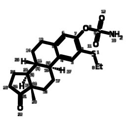 CCSc1cc2c(cc1OS(N)(=O)=O)CC[C@@H]1[C@@H]2CC[C@]2(C)C(=O)CC[C@@H]12